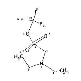 CCN(CC)CS(=O)(=O)OC(F)(F)F